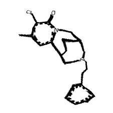 Cc1cc2n(c(=O)c1Cl)CC1CC2CN(Cc2ccccc2)C1